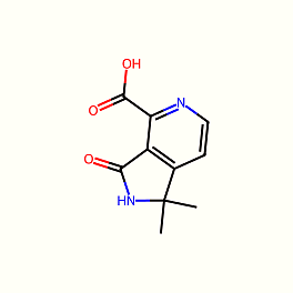 CC1(C)NC(=O)c2c1ccnc2C(=O)O